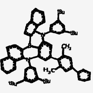 Cc1cc(-c2ccccc2)cc(C)c1-c1cc2c3c(c1)N(c1cc(C(C)(C)C)cc(C(C)(C)C)c1)c1c(ccc4ccccc14)B3c1ccc3ccccc3c1N2c1cc(C(C)(C)C)cc(C(C)(C)C)c1